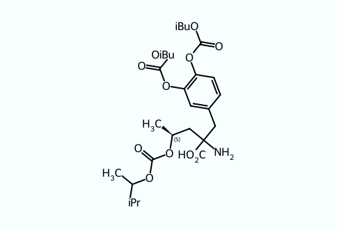 CC(C)COC(=O)Oc1ccc(CC(N)(C[C@H](C)OC(=O)OC(C)C(C)C)C(=O)O)cc1OC(=O)OCC(C)C